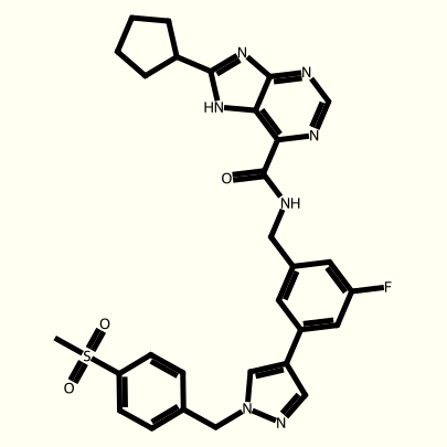 CS(=O)(=O)c1ccc(Cn2cc(-c3cc(F)cc(CNC(=O)c4ncnc5nc(C6CCCC6)[nH]c45)c3)cn2)cc1